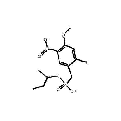 CCC(C)OP(=O)(O)Cc1cc([N+](=O)[O-])c(OC)cc1F